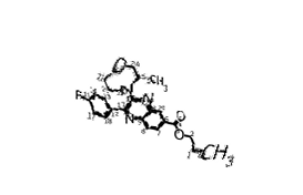 CCCOC(=O)c1ccc2nc(-c3ccc(F)cc3)c(N3CCOC[C@@H]3C)nc2c1